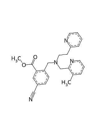 COC(=O)c1cc(C#N)ccc1CN(CCc1ccccn1)Cc1ncccc1C